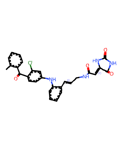 Cc1ccccc1C(=O)c1ccc(Nc2ccccc2/C=C/CNC(=O)/C=C2\NC(=O)NC2=O)cc1Cl